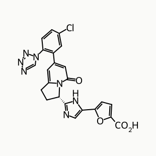 O=C(O)c1ccc(-c2cnc([C@@H]3CCc4cc(-c5cc(Cl)ccc5-n5cnnn5)cc(=O)n43)[nH]2)o1